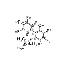 Oc1c(F)c(F)c(F)c(F)c1-c1c(F)c(F)c(F)c(F)c1F.[CH3][Al]([CH3])[CH3]